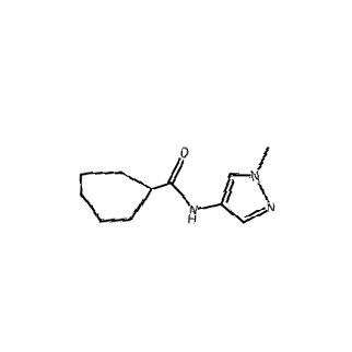 Cn1cc(NC(=O)C2CCCCC2)cn1